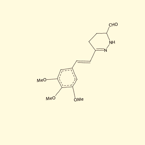 COc1cc(C=CC2=NNC(C=O)CC2)cc(OC)c1OC